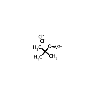 CC(C)(C)[O][V+2].[Cl-].[Cl-]